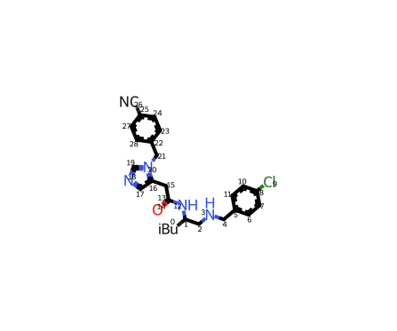 CCC(C)C(CNCc1ccc(Cl)cc1)NC(=O)Cc1cncn1Cc1ccc(C#N)cc1